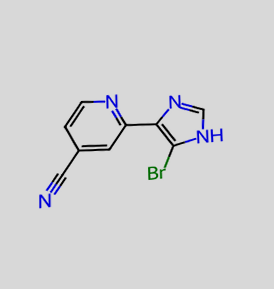 N#Cc1ccnc(-c2nc[nH]c2Br)c1